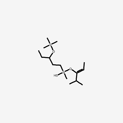 C/C=C(\O[Si](C)(S)CCC(CC)O[Si](C)(C)C)C(C)C